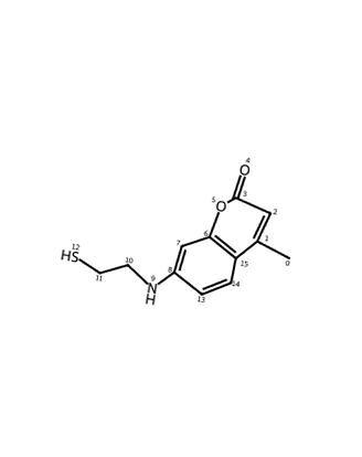 Cc1cc(=O)oc2cc(NCCS)ccc12